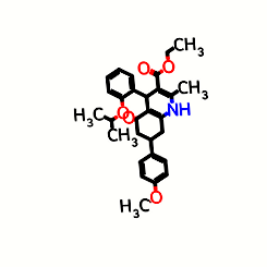 CCOC(=O)C1=C(C)NC2=C(C(=O)CC(c3ccc(OC)cc3)C2)C1c1ccccc1OC(C)C